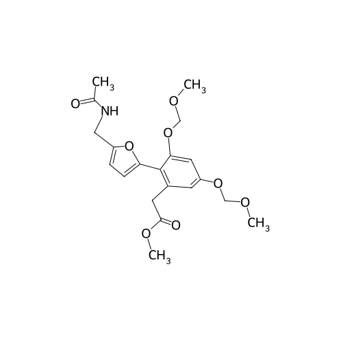 COCOc1cc(CC(=O)OC)c(-c2ccc(CNC(C)=O)o2)c(OCOC)c1